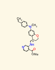 C=Cc1ccc(N(C)c2ccc3c(c2)OCC[C@H]3CNc2cnccc2C(=O)OC)cc1